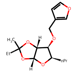 CCC[C@H]1O[C@@H]2OC(C)(CC)O[C@@H]2[C@H]1OCc1ccoc1